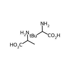 CC(C)(C)C(N)C(=O)O.CC(N)C(=O)O